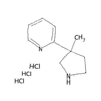 CC1(c2ccccn2)CCNC1.Cl.Cl.Cl